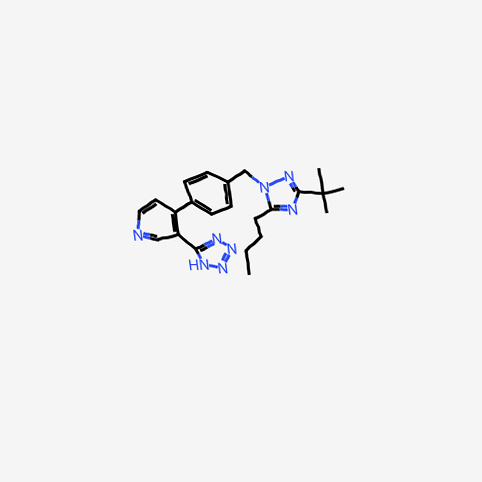 CCCCc1nc(C(C)(C)C)nn1Cc1ccc(-c2ccncc2-c2nnn[nH]2)cc1